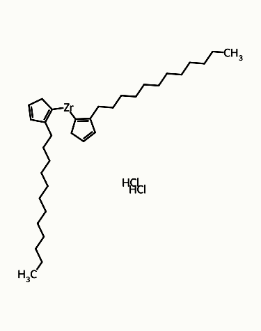 CCCCCCCCCCCCC1=[C]([Zr][C]2=C(CCCCCCCCCCCC)C=CC2)CC=C1.Cl.Cl